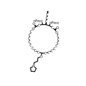 C=C=C=C=C1C(CCCCC)CC(=O)OCCCCCCCCC(OCCCN2CCCC2)CCCCCCCCOC(=O)CC1CCCCC